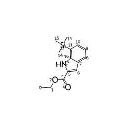 CCOC(=O)c1cc2cccc([Si](C)(C)C)c2[nH]1